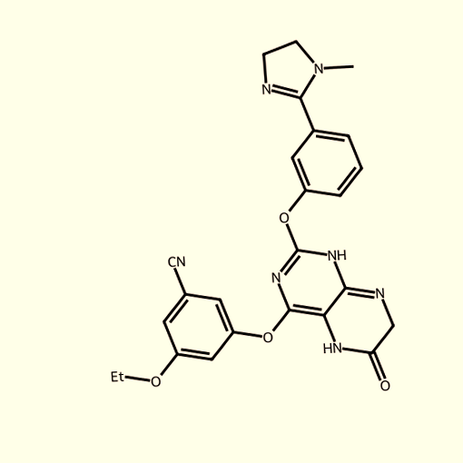 CCOc1cc(C#N)cc(OC2=C3NC(=O)CN=C3NC(Oc3cccc(C4=NCCN4C)c3)=N2)c1